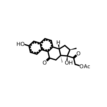 CC(=O)OCC(=O)[C@@]1(O)[C@H](C)C[C@H]2c3ccc4cc(O)ccc4c3C(=O)C[C@@]21C